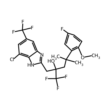 COc1ccc(F)cc1C(C)(C)CC(O)(Cc1nc2cc(C(F)(F)F)cc(Cl)c2[nH]1)C(F)(F)F